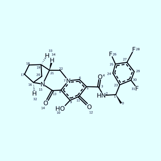 C[C@@H](NC(=O)c1cn2c(c(O)c1=O)C(=O)N1[C@H]3CC[C@H](C3)[C@@H]1C2)c1cc(F)c(F)cc1F